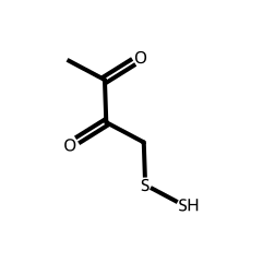 CC(=O)C(=O)CSS